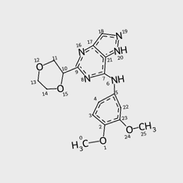 COc1ccc(Nc2nc(C3COCCO3)nc3cn[nH]c23)cc1OC